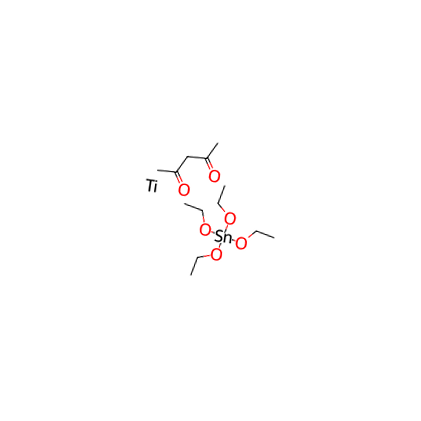 CC(=O)CC(C)=O.CC[O][Sn]([O]CC)([O]CC)[O]CC.[Ti]